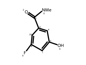 CNC(=O)c1cc(O)cc(F)c1